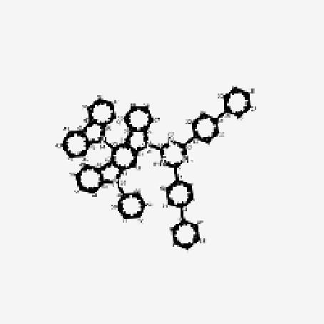 c1ccc(-c2ccc(-c3nc(-c4ccc(-c5ccccc5)cc4)nc(-n4c5ccccc5c5c(-n6c7ccccc7c7ccccc76)c6c7ccccc7n(-c7ccccc7)c6cc54)n3)cc2)cc1